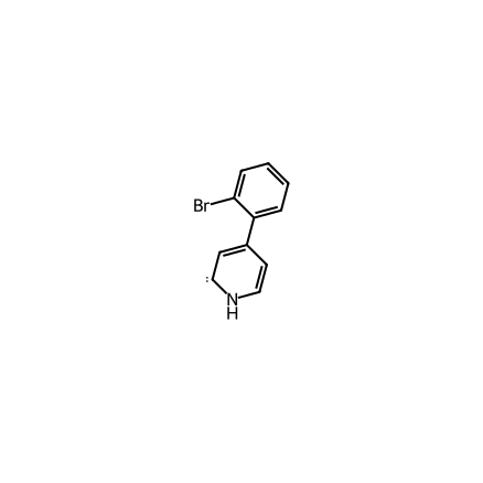 Brc1ccccc1C1=C[C]NC=C1